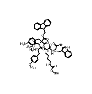 CC(C)(C)OC(=O)NCCCC[C@H](NC(=O)[C@@](Cc1ccc(N)cc1)(C(=O)OCC1c2ccccc2-c2ccccc21)N(C(=O)OC(C)(C)C)C(=O)[C@@H](N)Cc1ccc(OC(C)(C)C)cc1)C(=O)N[C@@H](Cc1c[nH]c2ccccc12)C(N)=O